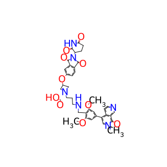 COc1cc(-c2cn(C)c(=O)c3cnccc23)cc(OC)c1CNCCCN1CC(Oc2ccc3c(c2)C(=O)N(C2CCC(=O)NC2=O)C3=O)C1.O=CO